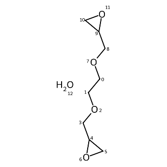 C(COCC1CO1)OCC1CO1.O